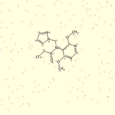 COc1ncnc(OC)c1N(Cn1cccn1)C(=O)CCl